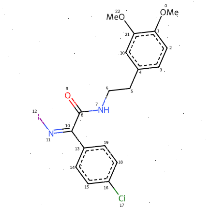 COc1ccc(CCNC(=O)/C(=N\I)c2ccc(Cl)cc2)cc1OC